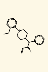 C=CC(=O)N(c1ccccc1)C1CCN(c2ccccc2CC)CC1